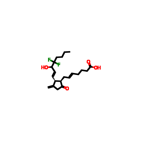 C=C1CC(=O)[C@H](CC=CCCCC(=O)O)[C@H]1C=CC(O)C(F)(F)CCCC